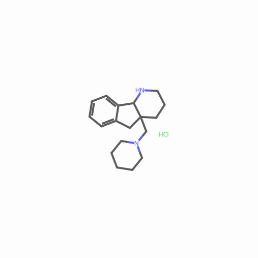 Cl.c1ccc2c(c1)CC1(CN3CCCCC3)CCCNC21